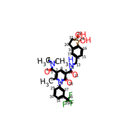 Cc1c(C(=O)N(C)C)cc(C(=O)NCc2ccc3c(c2)CCS3(O)O)c(=O)n1-c1cccc(C(F)(F)F)c1